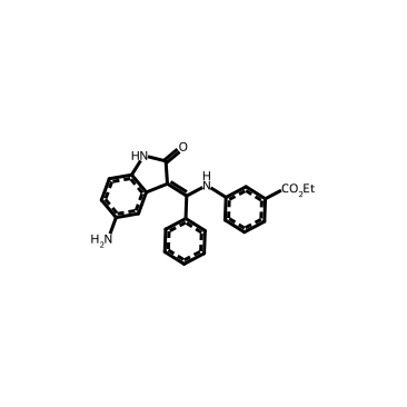 CCOC(=O)c1cccc(N/C(=C2\C(=O)Nc3ccc(N)cc32)c2ccccc2)c1